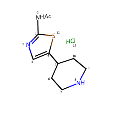 CC(=O)Nc1ncc(C2CCNCC2)s1.Cl